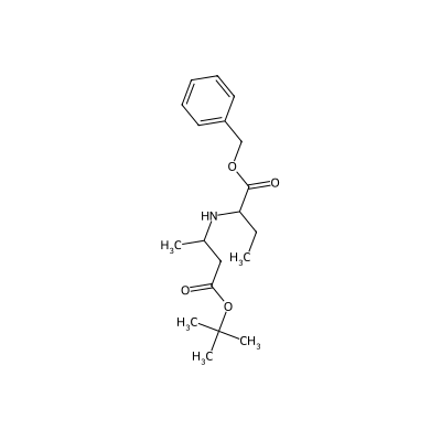 CCC(NC(C)CC(=O)OC(C)(C)C)C(=O)OCc1ccccc1